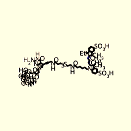 CCN1/C(=C/C=C/C2=[N+](CCCCCC(=O)NCCSSCCC(=O)NCC#Cc3cn([C@H]4C[C@@H](OCN=[N+]=[N-])[C@@H](COP(=O)(O)OP(=O)(O)OP(=O)(O)O)O4)c4nc(N)[nH]c(=O)c34)c3ccc(S(=O)(=O)O)cc3C2(C)C)C(C)(C)c2cc(S(=O)(=O)O)ccc21